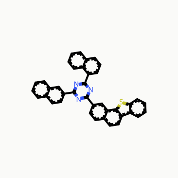 c1ccc2cc(-c3nc(-c4ccc5ccc6c7ccccc7sc6c5c4)nc(-c4cccc5ccccc45)n3)ccc2c1